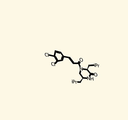 CC(C)C[C@H]1CN(C(=O)/C=C/c2ccc(Cl)c(Cl)c2)[C@@H](CC(C)C)C(=O)N1